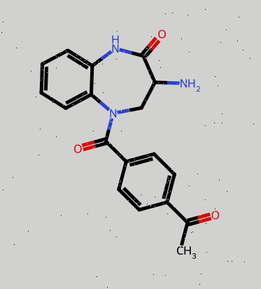 CC(=O)c1ccc(C(=O)N2CC(N)C(=O)Nc3ccccc32)cc1